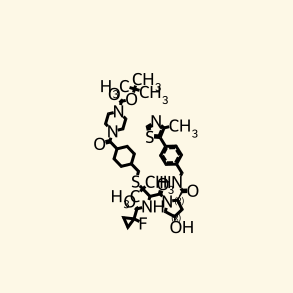 Cc1ncsc1-c1ccc(CNC(=O)[C@H]2C[C@@H](O)CN2C(=O)C(NC(=O)C2(F)CC2)C(C)(C)SCC2CCC(C(=O)N3CCN(C(=O)OC(C)(C)C)CC3)CC2)cc1